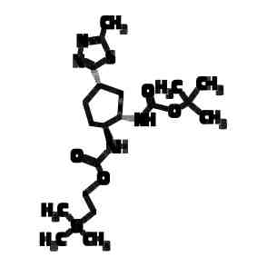 Cc1nnc([C@H]2CC[C@H](NC(=O)OCC[Si](C)(C)C)[C@@H](NC(=O)OC(C)(C)C)C2)s1